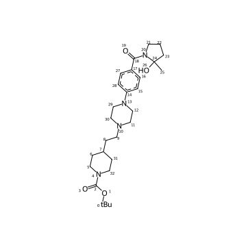 CC(C)(C)OC(=O)N1CCC(CCN2CCN(c3ccc(C(=O)N4CCCC4(C)O)cc3)CC2)CC1